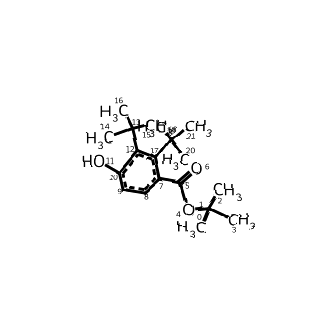 CC(C)(C)OC(=O)c1ccc(O)c(C(C)(C)C)c1C(C)(C)C